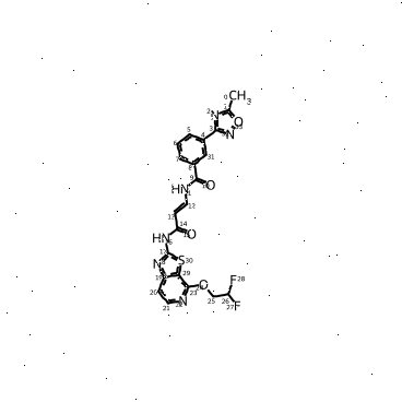 Cc1nc(-c2cccc(C(=O)NC=CC(=O)Nc3nc4ccnc(OCC(F)F)c4s3)c2)no1